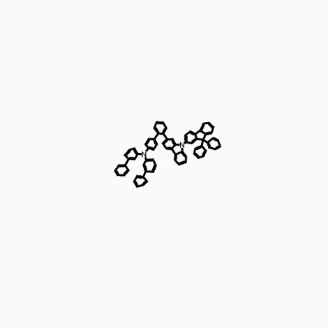 c1ccc(-c2cccc(N(c3ccc(-c4ccccc4-c4ccc5c6ccccc6n(-c6ccc7c(c6)C(c6ccccc6)(c6ccccc6)c6ccccc6-7)c5c4)cc3)c3cccc(-c4ccccc4)c3)c2)cc1